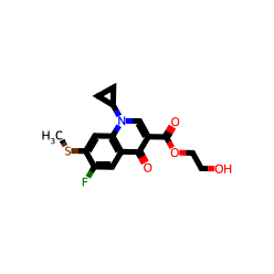 CSc1cc2c(cc1F)c(=O)c(C(=O)OCCO)cn2C1CC1